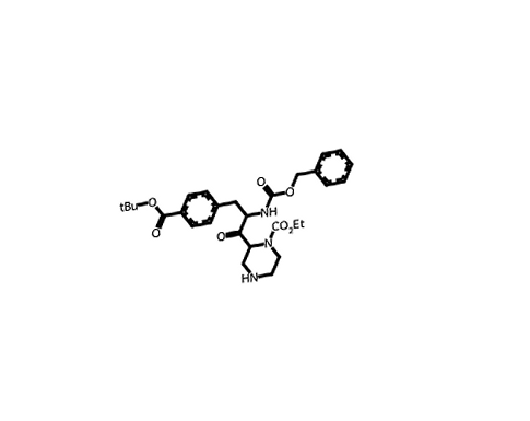 CCOC(=O)N1CCNCC1C(=O)C(Cc1ccc(C(=O)OC(C)(C)C)cc1)NC(=O)OCc1ccccc1